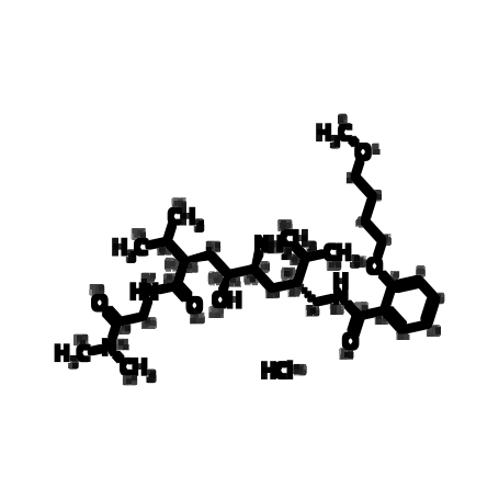 COCCCCOc1ccccc1C(=O)NC[C@H](C[C@H](N)[C@@H](O)C[C@@H](C(=O)NCC(=O)N(C)C)C(C)C)C(C)C.Cl